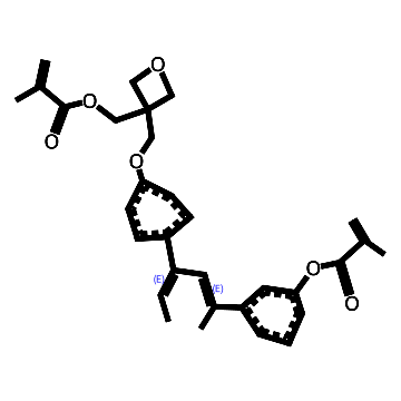 C=C(C)C(=O)OCC1(COc2ccc(C(/C=C(\C)c3cccc(OC(=O)C(=C)C)c3)=C/C)cc2)COC1